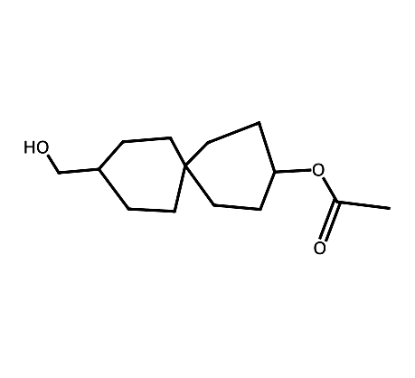 CC(=O)OC1CCC2(CCC(CO)CC2)CC1